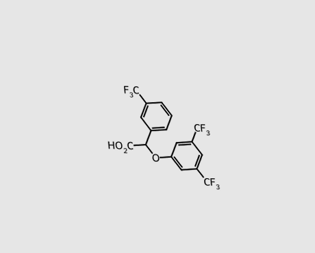 O=C(O)C(Oc1cc(C(F)(F)F)cc(C(F)(F)F)c1)c1cccc(C(F)(F)F)c1